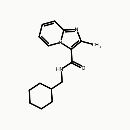 Cc1nc2ccccn2c1C(=O)NCC1CCCCC1